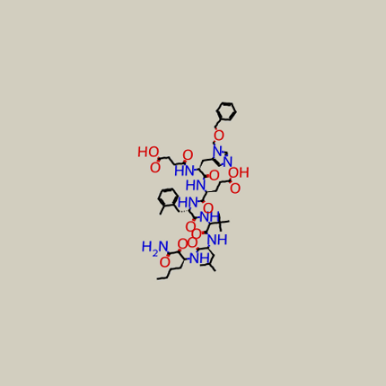 CCCC[C@H](NC(=O)[C@H](CC(C)C)NC(=O)[C@@H](NC(=O)[C@H](Cc1ccccc1C)NC(=O)[C@H](CCC(=O)O)NC(=O)[C@H](Cc1cncn1COCc1ccccc1)NC(=O)CCC(=O)O)C(C)(C)C)C(=O)C(N)=O